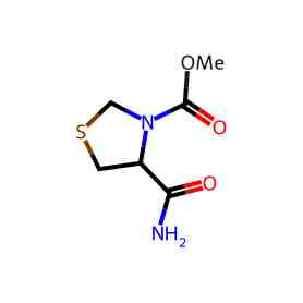 COC(=O)N1CSCC1C(N)=O